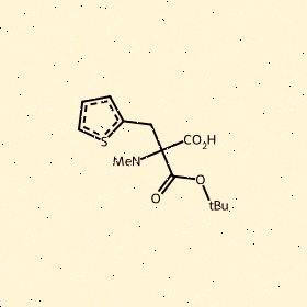 CNC(Cc1cccs1)(C(=O)O)C(=O)OC(C)(C)C